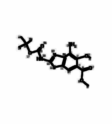 Bc1c(OC)c(C(=O)OC)cc2sc(NC(=O)OC(C)(C)C)nc12